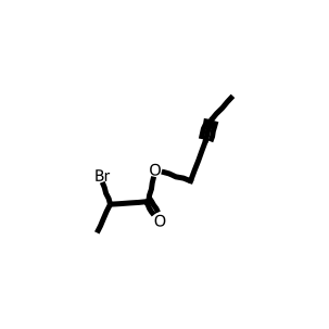 CC#CCOC(=O)C(C)Br